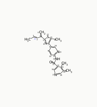 C=C(/C=C/C)c1nc(-c2ccc(NC(=O)c3cncc(C)c3C)nc2)c(C)s1